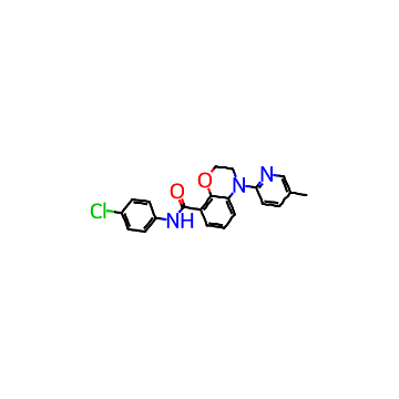 Cc1ccc(N2CCOc3c(C(=O)Nc4ccc(Cl)cc4)cccc32)nc1